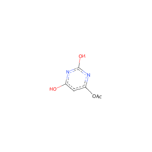 CC(=O)Oc1cc(O)nc(O)n1